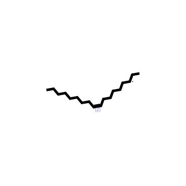 CC[CH]CCCCC/C=C\CCCCCCCC